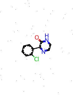 O=c1[nH]ccnc1-c1ccccc1Cl